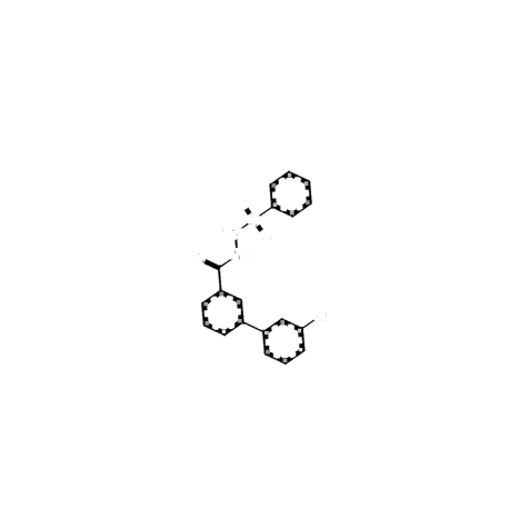 O=C(NNS(=O)(=O)c1ccccc1)c1cccc(-c2cccc(Cl)c2)c1